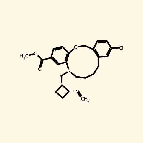 C=C[C@@H]1CC[C@H]1CN1CCCCc2cc(Cl)ccc2COc2ccc(C(=O)OC)cc21